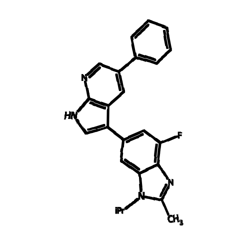 Cc1nc2c(F)cc(-c3c[nH]c4ncc(-c5ccccc5)cc34)cc2n1C(C)C